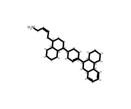 NC/C=C\CC1CCC(C2CC=C(C3CC4C=CC=CC4C4CCCCC34)CC2)C2CCCCC12